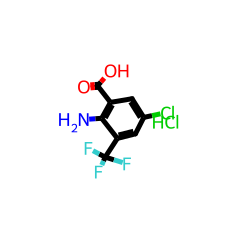 Cl.Nc1c(C(=O)O)cc(Cl)cc1C(F)(F)F